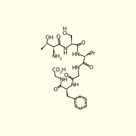 CC(C)[C@H](NC(=O)[C@H](CO)NC(=O)[C@@H](N)[C@@H](C)O)C(=O)NCC(=O)N[C@@H](Cc1ccccc1)C(=O)NCC(=O)O